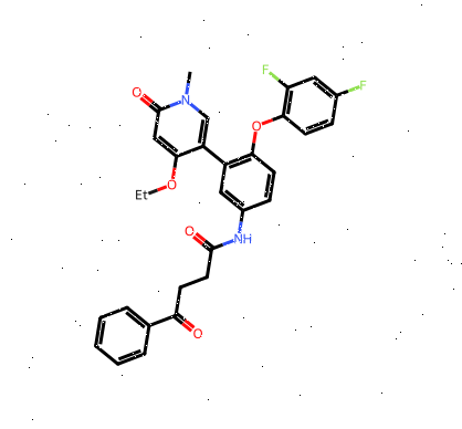 CCOc1cc(=O)n(C)cc1-c1cc(NC(=O)CCC(=O)c2ccccc2)ccc1Oc1ccc(F)cc1F